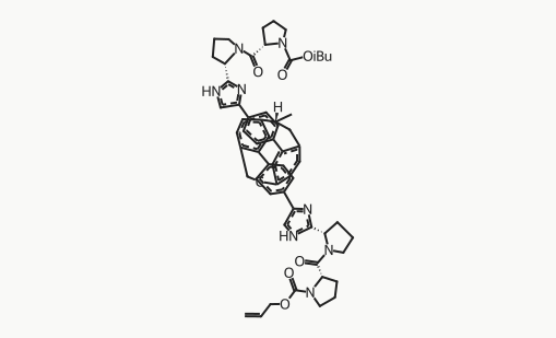 C=CCOC(=O)N1CCC[C@H]1C(=O)N1CCC[C@H]1c1nc(-c2ccc(-c3cc4ccc3CCc3ccc(c(-c5ccc(-c6c[nH]c([C@@H]7CCCN7C(=O)[C@@H]7CCCN7C(=O)OCC(C)C)n6)cc5)c3)C[C@H]4C)cc2)c[nH]1